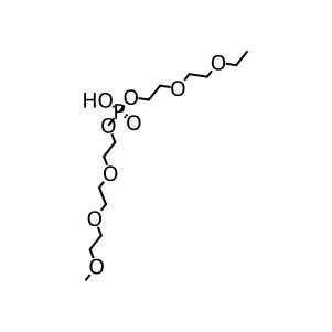 CCOCCOCCOP(=O)(O)OCCOCCOCCOC